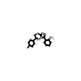 Cc1ccc(C2=Nn3c(nnc3-c3ccccc3N)SC2)cc1